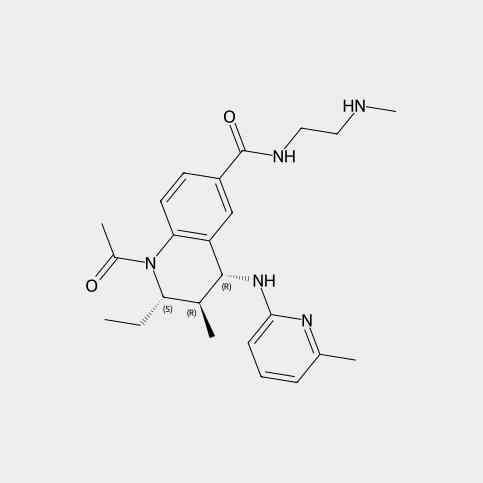 CC[C@H]1[C@H](C)[C@@H](Nc2cccc(C)n2)c2cc(C(=O)NCCNC)ccc2N1C(C)=O